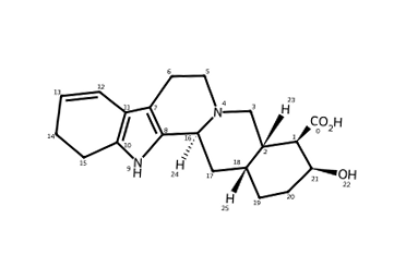 O=C(O)[C@@H]1[C@H]2CN3CCc4c([nH]c5c4C=CCC5)[C@@H]3C[C@H]2CC[C@@H]1O